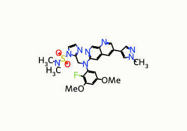 COc1cc(OC)c(F)c(N(Cc2nccn2S(=O)(=O)N(C)C)c2cc3cc(-c4cnn(C)c4)cnc3cn2)c1